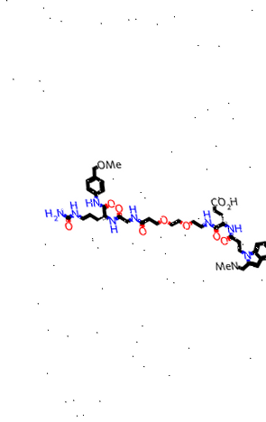 CNCc1cc2ccccc2n1CCC(=O)N[C@@H](CCC(=O)O)C(=O)NCCOCCOCCC(=O)NCC(=O)N[C@@H](CCCNC(N)=O)C(=O)Nc1ccc(COC)cc1